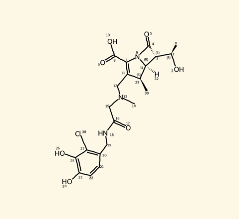 C[C@@H](O)[C@H]1C(=O)N2C(C(=O)O)=C(CN(C)CC(=O)NCc3ccc(O)c(O)c3Cl)[C@H](C)[C@H]12